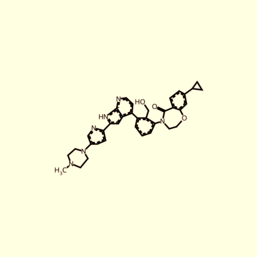 CN1CCN(c2ccc(-c3cc4c(-c5cccc(N6CCOc7cc(C8CC8)ccc7C6=O)c5CO)ccnc4[nH]3)nc2)CC1